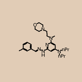 CCCN(CCC)c1cc(N/N=C/c2cccc(C)c2)nc(N(C)CCN2CCOCC2)c1